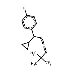 CC(C)(N=C=NC(c1ccc(F)cc1)C1CC1)C(F)(F)F